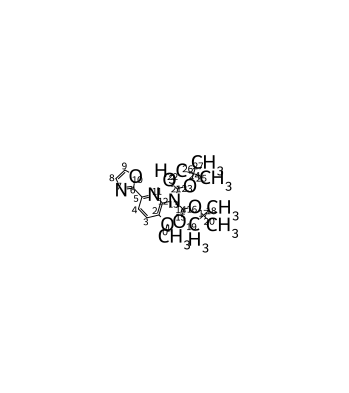 COc1ccc(-c2ncco2)nc1N(C(=O)OC(C)(C)C)C(=O)OC(C)(C)C